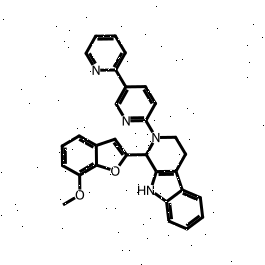 COc1cccc2cc(C3c4[nH]c5ccccc5c4CCN3c3ccc(-c4ccccn4)cn3)oc12